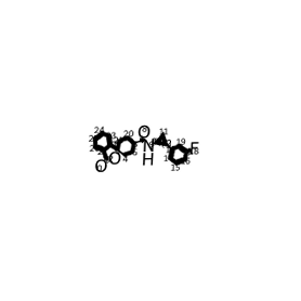 O=C1O[C@]2(CC[C@H](C(=O)N[C@@H]3C[C@H]3c3cccc(F)c3)CC2)c2ccccc21